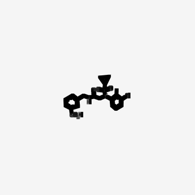 Cc1c(Cl)cccc1N(CC(=O)NCc1cccc(C(=O)O)c1)S(=O)(=O)C1CC1